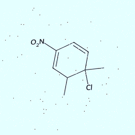 CC1C=C([N+](=O)[O-])C=CC1(C)Cl